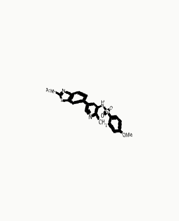 COc1ccc(S(=O)(=O)Nc2cc(-c3ccc4nc(NC(C)=O)sc4c3)cnc2C)cc1